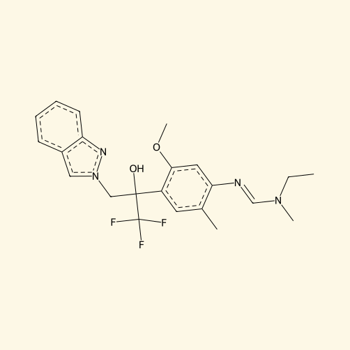 CCN(C)/C=N/c1cc(OC)c(C(O)(Cn2cc3ccccc3n2)C(F)(F)F)cc1C